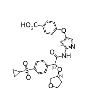 O=C(O)c1ccc(Oc2cnc(NC(=O)[C@@H](O[C@H]3CCOC3)c3ccc(S(=O)(=O)C4CC4)cc3)s2)cc1